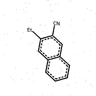 CCc1[c]c2ccccc2cc1C#N